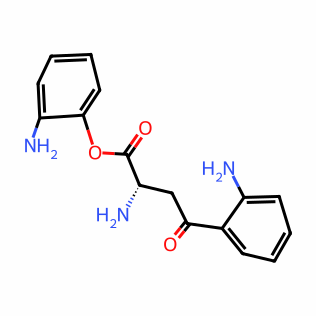 Nc1ccccc1OC(=O)[C@@H](N)CC(=O)c1ccccc1N